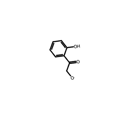 [O]CC(=O)c1ccccc1O